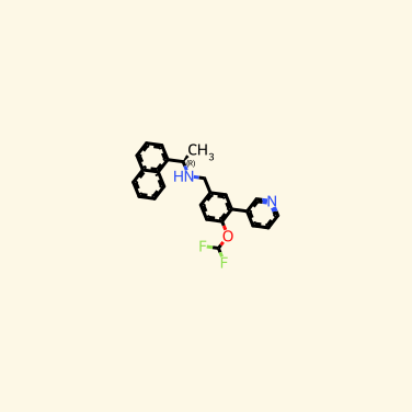 C[C@@H](NCc1ccc(OC(F)F)c(-c2cccnc2)c1)c1cccc2ccccc12